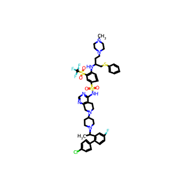 CC(c1cc(F)ccc1-c1ccc(Cl)cc1)N1CCC(N2CCc3c(ncnc3NS(=O)(=O)c3ccc(NC(CCN4CCN(C)CC4)CSc4ccccc4)c(S(=O)(=O)C(F)(F)F)c3)C2)CC1